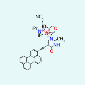 C=C1NC(=O)C(C#Cc2ccc3c4cccc5cccc(c6cccc2c63)c54)=CN1[C@@H]1O[C@]2(CC)COC1[C@@H]2OP(OCCC#N)N(C(C)C)C(C)C